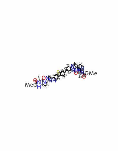 COC(=O)N[C@@H](C)C(=O)N1CCC[C@H]1c1ncc(-c2ccc3c(c2)sc2cc(-c4ccc5nc([C@@H]6[C@H]7CC[C@H](C7)N6C(=O)[C@H](C)NC(=O)OC)[nH]c5c4)ccc23)[nH]1